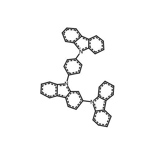 c1ccc2c(c1)c1ccccc1n2-c1ccc(-n2c3ccccc3c3ccc(-n4c5ccccc5c5ccccc54)cc32)cc1